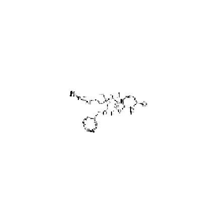 CC[C@@]1(CCN=[N+]=[N-])O[C@@H]2[C@@H](OC3NC(=O)C=CN32)C1OCc1ccccc1